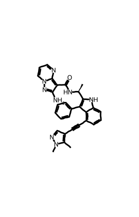 Cc1c(C#Cc2cccc3[nH]c([C@H](C)NC(=O)c4c(N)nn5cccnc45)c(-c4ccccc4)c23)cnn1C